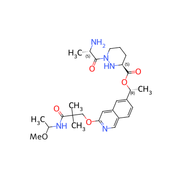 COC(C)NC(=O)C(C)(C)COc1cc2cc([C@@H](C)OC(=O)[C@@H]3CCCN(C(=O)[C@H](C)N)N3)ccc2cn1